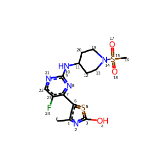 Cc1nc(O)sc1-c1nc(NC2CCN(S(C)(=O)=O)CC2)ncc1F